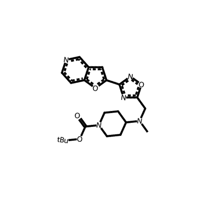 CN(Cc1nc(-c2cc3cnccc3o2)no1)C1CCN(C(=O)OC(C)(C)C)CC1